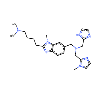 CCCN(CCC)CCCCc1nc2ccc(CN(Cc3ncc[nH]3)Cc3nccn3C)cc2n1C